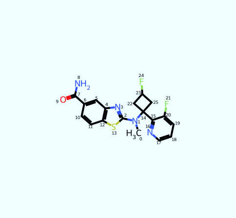 CN(c1nc2cc(C(N)=O)ccc2s1)C1(c2ncccc2F)CC(F)C1